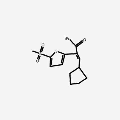 CC(C)C(=O)/C(=C/C1CCCC1)c1ccc(S(C)(=O)=O)s1